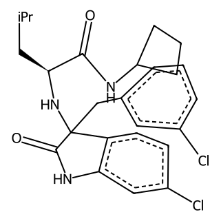 CC(C)C[C@H](NC1(Cc2cccc(Cl)c2)C(=O)Nc2cc(Cl)ccc21)C(=O)NC1CCC1